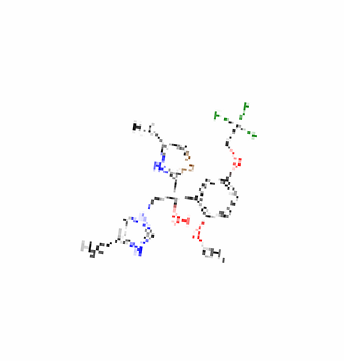 COc1ccc(OCC(F)(F)F)cc1C(O)(Cn1cnc(C)c1)c1nc(C)cs1